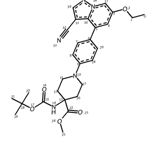 CCOc1cc(-c2ccc(N3CCC(NC(=O)OC(C)(C)C)(C(=O)OC)CC3)cc2)c2c(C#N)cnn2c1